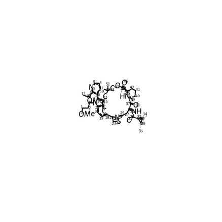 COCCCn1c(-c2cccnc2[C@H](C)OC)c2c3cc(ccc31)C1CSC(=N1)C[C@H](NC(=O)[C@H]1[C@H](C)[C@@H]1C)C(=O)N1CCC[C@H](N1)C(=O)OCC(C)(C)C2